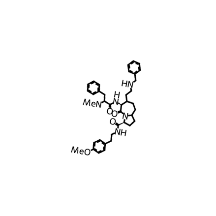 CNC(Cc1ccccc1)C(=O)N[C@@H]1C(=O)N2C(CCC1CCNCc1ccccc1)CC[C@H]2C(=O)NCCc1ccc(OC)cc1